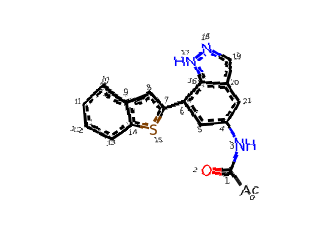 CC(=O)C(=O)Nc1cc(-c2cc3ccccc3s2)c2[nH]ncc2c1